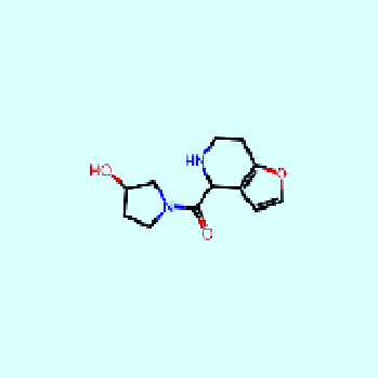 O=C(C1NCCc2occc21)N1CCC(O)C1